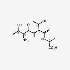 C[C@H](NC(=O)[C@@H](NC(=O)[C@@H](N)[C@@H](C)O)[C@@H](C)O)C(=O)O